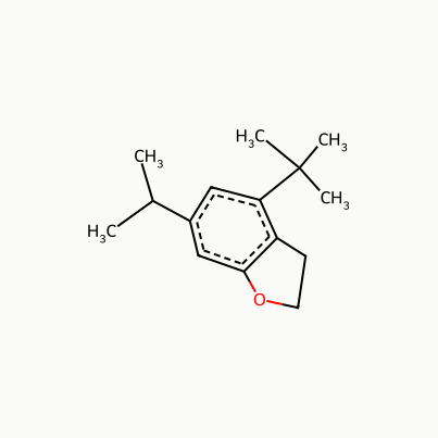 CC(C)c1cc2c(c(C(C)(C)C)c1)CCO2